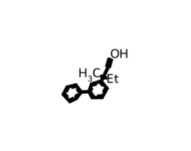 CCC(C)(C#CO)c1cccc(-c2ccccc2)c1